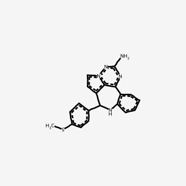 CSc1ccc(C2Nc3ccccc3-c3nc(N)nn4ccc2c34)cc1